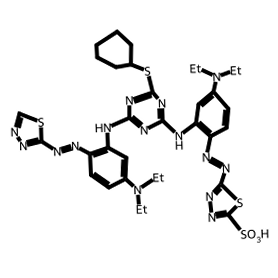 CCN(CC)c1ccc(/N=N/c2nncs2)c(Nc2nc(Nc3cc(N(CC)CC)ccc3/N=N/c3nnc(S(=O)(=O)O)s3)nc(SC3CCCCC3)n2)c1